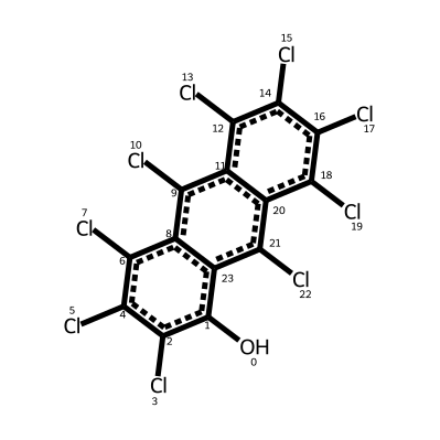 Oc1c(Cl)c(Cl)c(Cl)c2c(Cl)c3c(Cl)c(Cl)c(Cl)c(Cl)c3c(Cl)c12